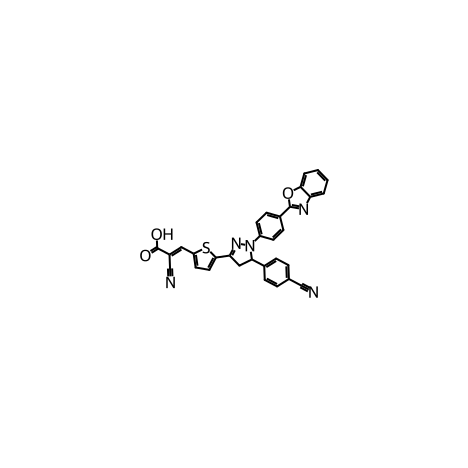 N#C/C(=C\c1ccc(C2=NN(c3ccc(-c4nc5ccccc5o4)cc3)C(c3ccc(C#N)cc3)C2)s1)C(=O)O